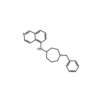 c1ccc(CN2CCCC(Nc3cccc4cnccc34)CC2)cc1